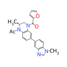 CC(=O)N1c2ccc(-c3ccc4c(c3)ncn4C)cc2N(C(=O)c2ccco2)C[C@@H]1C